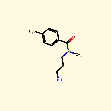 Cc1ccc(C(=O)N(C)CCCN)cc1